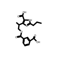 CCCc1nc(C(C)COC(=O)c2cccc(C(=O)O)c2)c(C(=O)O)[nH]1